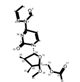 C/C=N\N(C=O)c1ccn([C@@H]2O[C@@](COC(C)=O)(OC)[C@@H](C)[C@H]2C)c(=O)n1